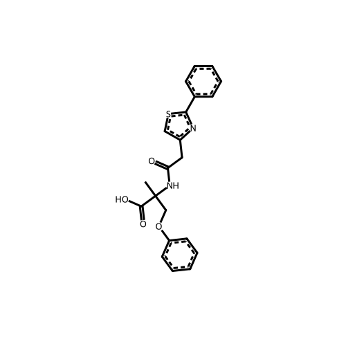 CC(COc1ccccc1)(NC(=O)Cc1csc(-c2ccccc2)n1)C(=O)O